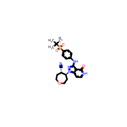 CC(C)(C)S(=O)(=O)c1ccc(Nc2nn([C@H]3CCOCC[C@@H]3C#N)c3cc[nH]c(=O)c23)cc1